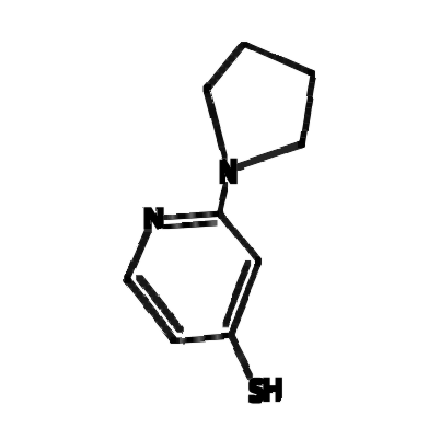 Sc1ccnc(N2CCCC2)c1